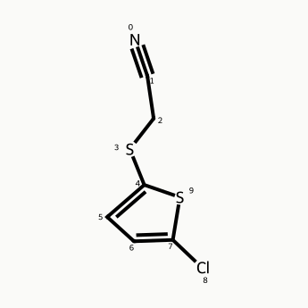 N#CCSc1ccc(Cl)s1